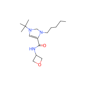 CCCCCN1CN(C(C)(C)C)C=C1C(=O)NC1COC1